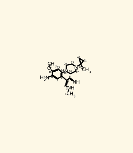 CN/C=C(\C=N)c1cc(N)c(OC)cc1N1CCN(C2(C)CC2)CC1